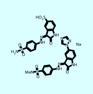 CNS(=O)(=O)c1ccc(NN=C2C(=O)Nc3ccc(-n4cncn4)cc32)cc1.NS(=O)(=O)c1ccc(NN=C2C(=O)Nc3ccc(S(=O)(=O)O)cc32)cc1.[Na]